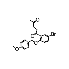 COc1ccc(COc2ccc(Br)cc2C(=O)CCC(C)=O)cc1